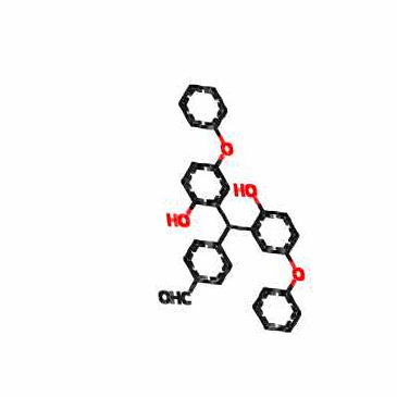 O=Cc1ccc(C(c2cc(Oc3ccccc3)ccc2O)c2cc(Oc3ccccc3)ccc2O)cc1